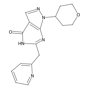 O=c1[nH]c(Cc2ccccn2)nc2c1cnn2C1CCOCC1